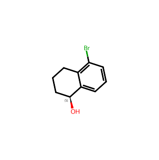 O[C@H]1CCCc2c(Br)cccc21